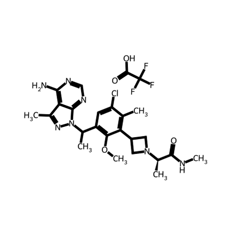 CNC(=O)[C@@H](C)N1CC(c2c(C)c(Cl)cc(C(C)n3nc(C)c4c(N)ncnc43)c2OC)C1.O=C(O)C(F)(F)F